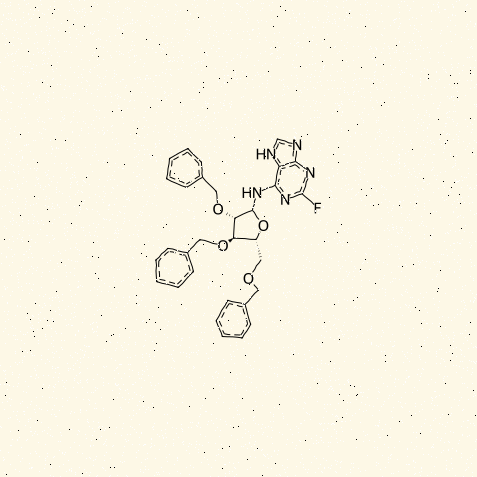 Fc1nc(NC2O[C@H](COCc3ccccc3)[C@@H](OCc3ccccc3)[C@@H]2OCc2ccccc2)c2[nH]cnc2n1